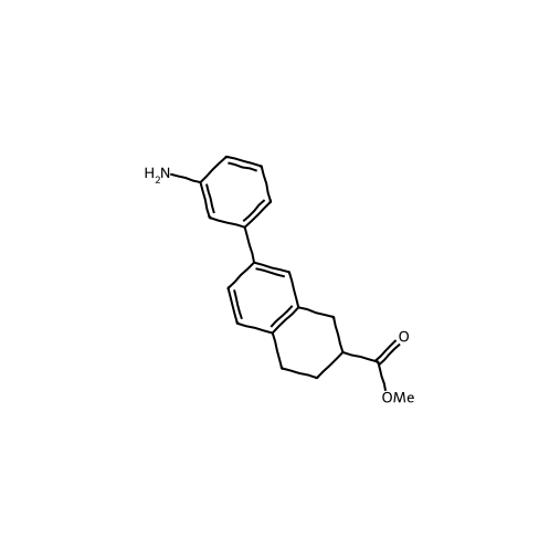 COC(=O)C1CCc2ccc(-c3cccc(N)c3)cc2C1